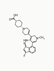 CN1C=C2C(=C(C3=CCN([C@H]4CC[C@H](C(=O)O)CC4)CC3)C1)NN=C1C=C(F)c3cccc2c31